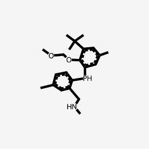 CNCc1cc(C)ccc1Pc1cc(C)cc(C(C)(C)C)c1OCOC